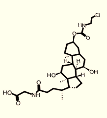 C[C@H](CCC(=O)NCC(=O)O)[C@H]1CC[C@H]2[C@@H]3[C@H](O)CC4C[C@H](OC(=O)NCCCl)CC[C@]4(C)[C@H]3C[C@H](O)[C@]12C